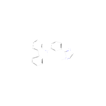 Cn1ccnc1-c1cccc(Nc2ccccc2-c2ccccc2)c1